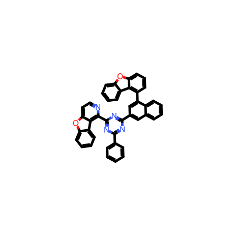 c1ccc(-c2nc(-c3cc(-c4cccc5oc6ccccc6c45)c4ccccc4c3)nc(-c3nccc4oc5ccccc5c34)n2)cc1